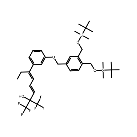 CCC(=CC=CC(O)(C(F)(F)F)C(F)(F)F)c1cccc(OCc2ccc(CO[Si](C)(C)C(C)(C)C)c(CO[Si](C)(C)C(C)(C)C)c2)c1